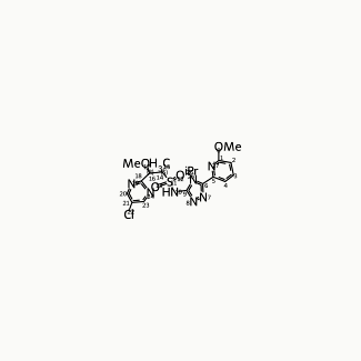 COc1cccc(-c2nnc(NS(=O)(=O)[C@@H](C)[C@H](OC)c3ncc(Cl)cn3)n2C(C)C)n1